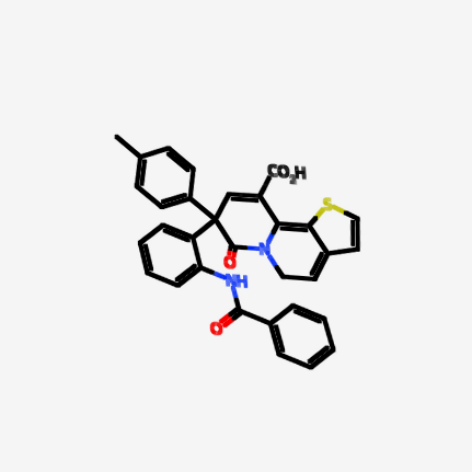 Cc1ccc(C2(c3ccccc3NC(=O)c3ccccc3)C=C(C(=O)O)C3=c4sccc4=CCN3C2=O)cc1